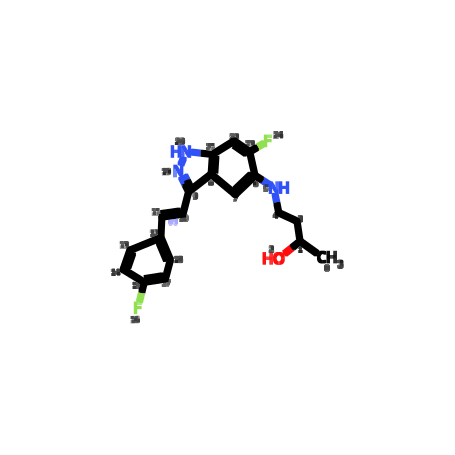 CC(O)CCNc1cc2c(/C=C/c3ccc(F)cc3)n[nH]c2cc1F